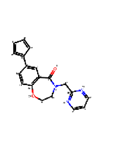 O=C1c2cc(C3=C=CC=C3)ccc2OCCN1Cc1ncccn1